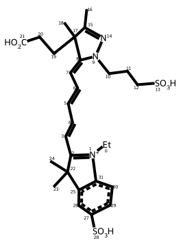 CC[N+]1=C(/C=C/C=C/C=C2\N(CCCS(=O)(=O)O)N=C(C)C2(C)CCC(=O)O)C(C)(C)c2cc(S(=O)(=O)O)ccc21